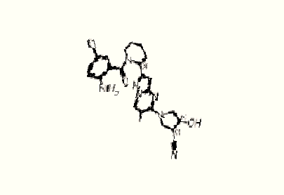 Cc1cn2nc([C@@H]3CCCCN3C(=O)c3cc(Cl)ccc3N)cc2nc1N1C[C@@H](O)[C@@H](C#N)C1